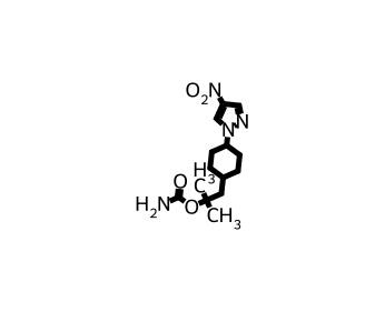 CC(C)(CC1CCC(n2cc([N+](=O)[O-])cn2)CC1)OC(N)=O